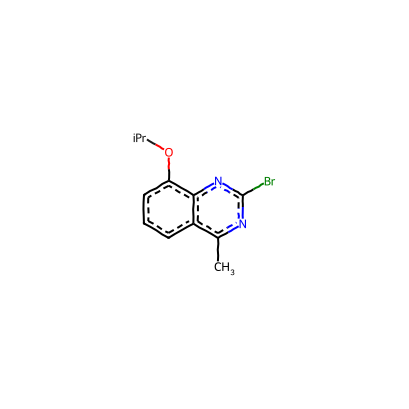 Cc1nc(Br)nc2c(OC(C)C)cccc12